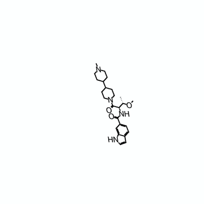 CO[C@@H](C)[C@@H](NC(=O)c1ccc2cc[nH]c2c1)C(=O)N1CCC(C2CCN(C)CC2)CC1